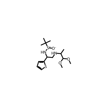 COC(OC)C(C)NCC(N[S+]([O-])C(C)(C)C)c1cccs1